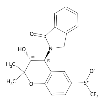 CC1(C)Oc2ccc([S+]([O-])C(F)(F)F)cc2[C@H](N2Cc3ccccc3C2=O)[C@H]1O